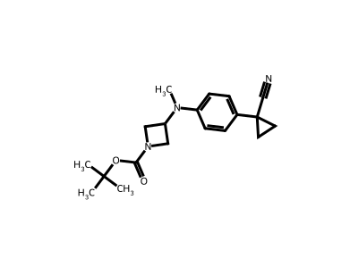 CN(c1ccc(C2(C#N)CC2)cc1)C1CN(C(=O)OC(C)(C)C)C1